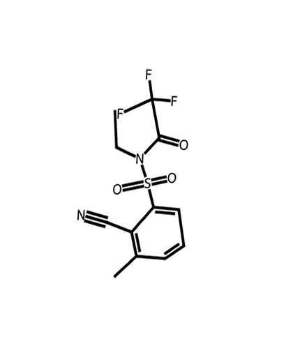 CCN(C(=O)C(F)(F)F)S(=O)(=O)c1cccc(C)c1C#N